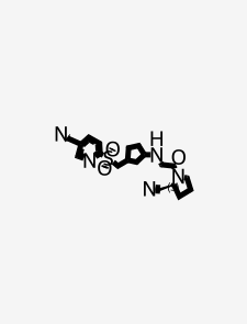 N#Cc1ccc(S(=O)(=O)CC2CCC(NCC(=O)N3CCC[C@H]3C#N)C2)nc1